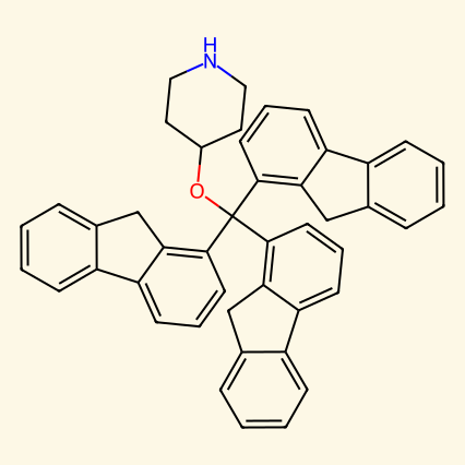 c1ccc2c(c1)Cc1c-2cccc1C(OC1CCNCC1)(c1cccc2c1Cc1ccccc1-2)c1cccc2c1Cc1ccccc1-2